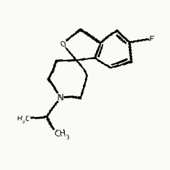 CC(C)N1CCC2(CC1)OCc1cc(F)ccc12